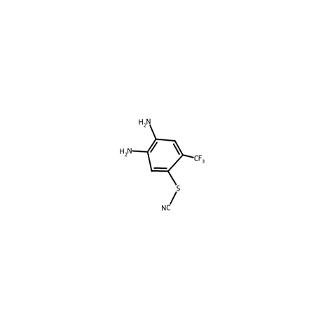 N#CSc1cc(N)c(N)cc1C(F)(F)F